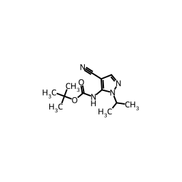 CC(C)n1ncc(C#N)c1NC(=O)OC(C)(C)C